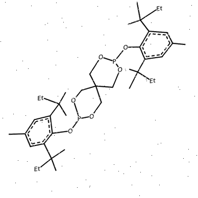 CCC(C)(C)c1cc(C)cc(C(C)(C)CC)c1OP1OCC2(CO1)COP(Oc1c(C(C)(C)CC)cc(C)cc1C(C)(C)CC)OC2